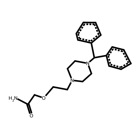 NC(=O)COCCN1CCN(C(c2ccccc2)c2ccccc2)CC1